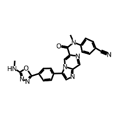 CNc1nnc(-c2ccc(-c3cnc4cnc(C(=O)N(C)c5ccc(C#N)cc5)cn34)cc2)o1